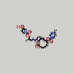 C/C(=C\C=C\[C@@H](C)COC(=O)N1CC[C@@H](O)C1)[C@H]1OC(=O)CCCCC[C@@H](OC(=O)N2CCN(C)CC2)/C=C/[C@@H]1C